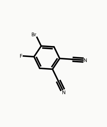 N#Cc1cc(F)c(Br)cc1C#N